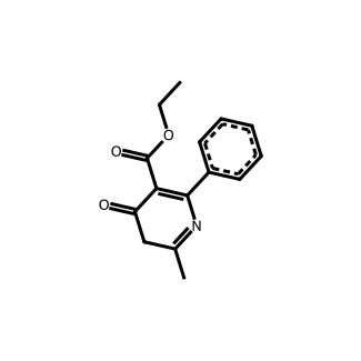 CCOC(=O)C1=C(c2ccccc2)N=C(C)CC1=O